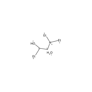 CCC(O)CN(CC)CC.O